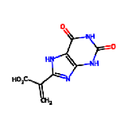 C=C(C(=O)O)c1nc2[nH]c(=O)[nH]c(=O)c2[nH]1